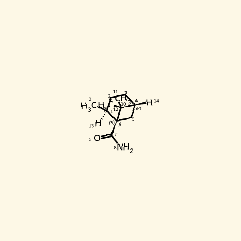 C[C@H]1[CH]C[C@@H]2C[C@@]1(C(N)=O)C2(C)C